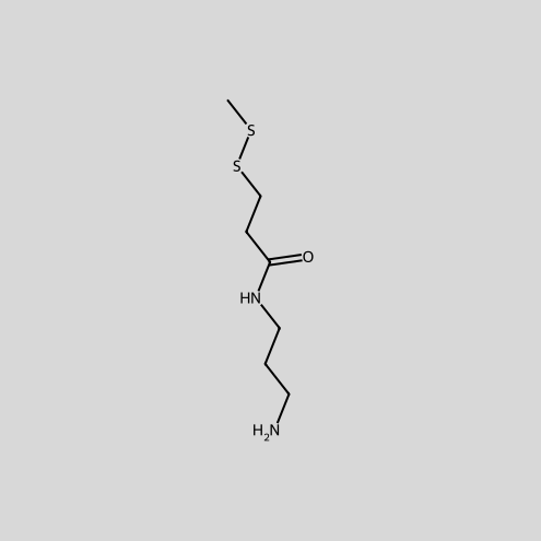 CSSCCC(=O)NCCCN